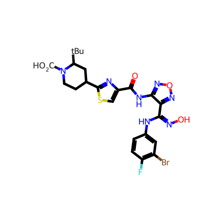 CC(C)(C)C1CC(c2nc(C(=O)Nc3nonc3/C(=N\O)Nc3ccc(F)c(Br)c3)cs2)CCN1C(=O)O